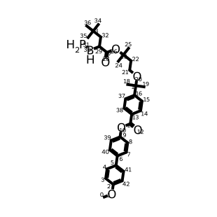 COc1ccc(-c2ccc(OC(=O)c3ccc(C(C)(C)OCCC(C)(C)OC(=O)C(BP)CC(C)(C)C)cc3)cc2)cc1